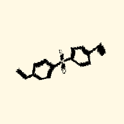 C=Cc1ccc(S(=O)(=O)c2ccc(C=C)cc2)cc1